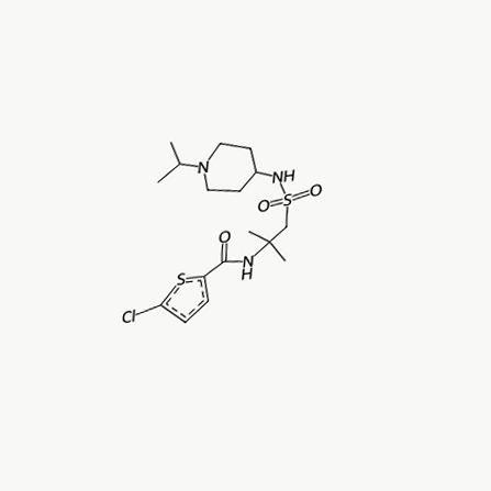 CC(C)N1CCC(NS(=O)(=O)CC(C)(C)NC(=O)c2ccc(Cl)s2)CC1